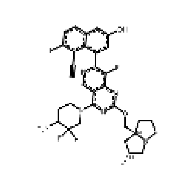 C#Cc1c(F)ccc2cc(O)cc(-c3ncc4c(N5CCC(N)C(F)(F)C5)nc(OC[C@@]56CCCN5C[C@H](F)C6)nc4c3F)c12